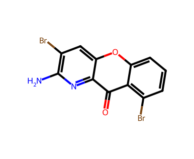 Nc1nc2c(=O)c3c(Br)cccc3oc2cc1Br